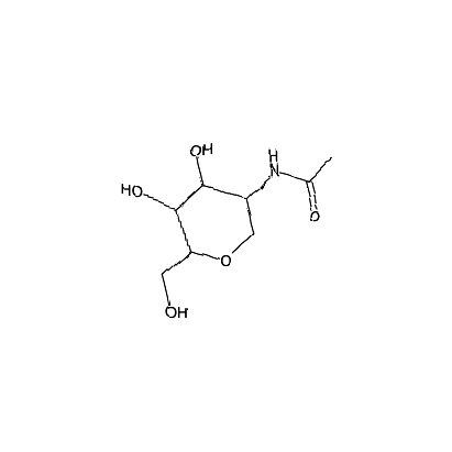 CC(=O)NC1COC(CO)C(O)C1O